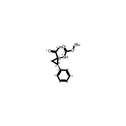 CC(C)C(=O)[C@@]1(NC(=O)OC(C)(C)C)C[C@@H]1c1ccccc1